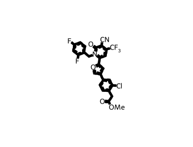 COC(=O)Cc1ccc(-c2coc(-c3cc(C(F)(F)F)c(C#N)c(=O)n3Cc3ccc(F)cc3F)c2)cc1Cl